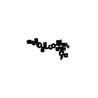 Cn1nc(C2CC3CC(CNC(=O)C4CCN(C(=O)OC(C)(C)C)CC4)CC3C2)c(C(=O)Nc2ccc(F)c(Cl)c2)c1N